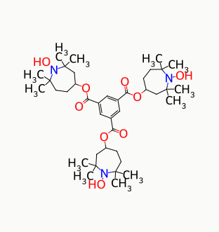 CC1(C)CCC(OC(=O)c2cc(C(=O)OC3CCC(C)(C)N(O)C(C)(C)C3)cc(C(=O)OC3CCC(C)(C)N(O)C(C)(C)C3)c2)CC(C)(C)N1O